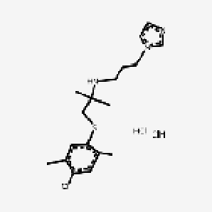 Cc1cc(SCC(C)(C)NCCCn2ccnc2)c(C)cc1Cl.Cl.Cl